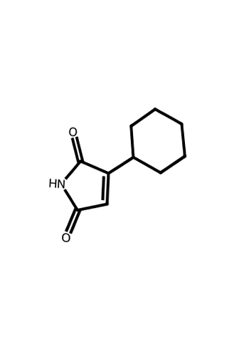 O=C1C=C(C2CCCCC2)C(=O)N1